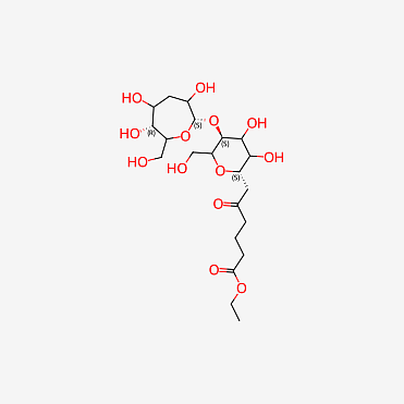 CCOC(=O)CCCC(=O)C[C@@H]1OC(CO)[C@@H](O[C@@H]2OC(CO)[C@H](O)C(O)CC2O)C(O)C1O